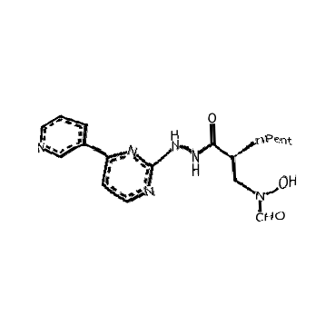 CCCCC[C@@H](CN(O)C=O)C(=O)NNc1nccc(-c2cccnc2)n1